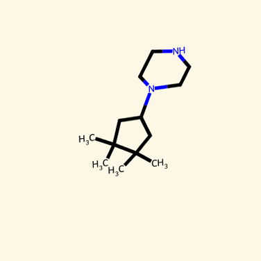 CC1(C)CC(N2CCNCC2)CC1(C)C